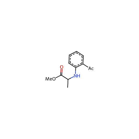 COC(=O)C(C)Nc1ccccc1C(C)=O